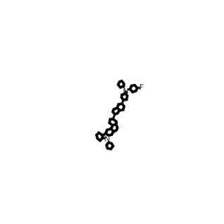 Fc1ccc(N(c2ccccc2)c2ccc(-c3ccc4cc(-c5ccc6c(ccc7cc8c(cc76)c6ccccc6n8-c6ccccc6)c5)ccc4c3)cc2)cc1